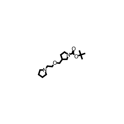 CC(C)(C)OC(=O)N1CCC(COCCN2CCCC2)C1